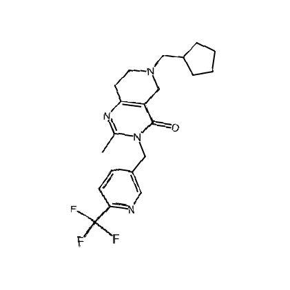 Cc1nc2c(c(=O)n1Cc1ccc(C(F)(F)F)nc1)CN(CC1CCCC1)CC2